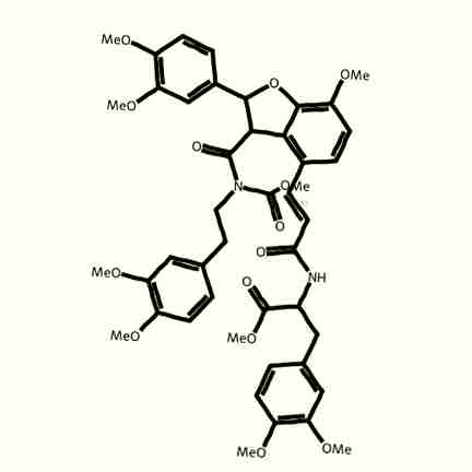 COC(=O)C(Cc1ccc(OC)c(OC)c1)NC(=O)/C=C/c1ccc(OC)c2c1C(C(=O)N(CCc1ccc(OC)c(OC)c1)C(=O)OC)C(c1ccc(OC)c(OC)c1)O2